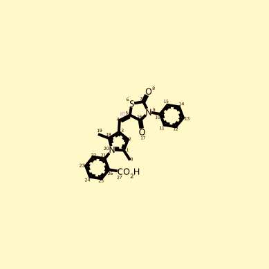 Cc1cc(/C=C2/SC(=O)N(c3ccccc3)C2=O)c(C)n1-c1ccccc1C(=O)O